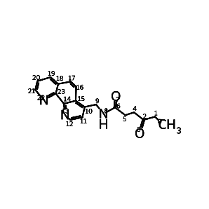 CCC(=O)CCC(=O)NCc1ccnc2c1ccc1cccnc12